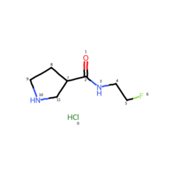 Cl.O=C(NCCF)C1CCNC1